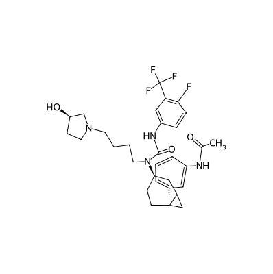 CC(=O)Nc1cccc([C@]23CC[C@@H](N(CCCCN4CC[C@@H](O)C4)C(=O)Nc4ccc(F)c(C(F)(F)F)c4)CC2C3)c1